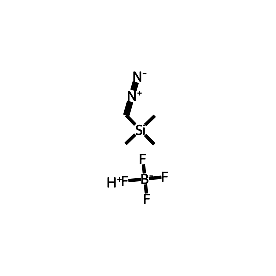 C[Si](C)(C)C=[N+]=[N-].F[B-](F)(F)F.[H+]